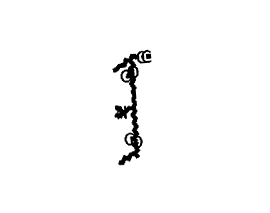 C=C=C=C=CC(CCCCC)CCOC(=O)CCCCCCCC(CCCCCCCC(=O)OCCC(C)CCCCC)CCN(CC)CC